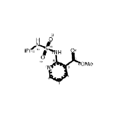 COC(=O)c1cccnc1NS(=O)(=O)NC(C)C